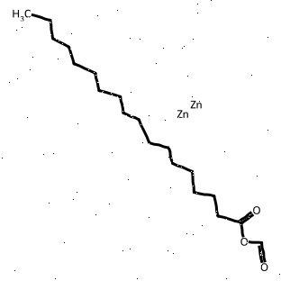 CCCCCCCCCCCCCCCCCC(=O)OC=O.[Zn].[Zn]